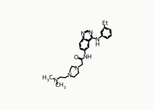 CCc1cccc(Nc2ncnc3ccc(NC(=O)CN4CCN(CCN(C)C)CC4)cc23)c1